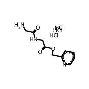 Cl.Cl.Cl.NCC(=O)NCC(=O)OCc1ccccn1